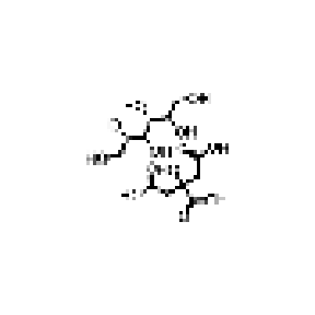 O=C(O)CC(O)(CC(=O)O)C(=O)O.OC[C@@H](O)[C@@H](O)[C@H](O)[C@@H](O)CO